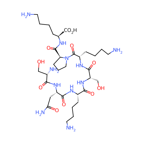 NCCCC[C@H](NC(=O)[C@@H]1CCCN1C(=O)[C@H](CCCCN)NC(=O)[C@H](CO)NC(=O)[C@H](CCCCN)NC(=O)[C@H](CC(N)=O)NC(=O)[C@@H](N)CO)C(=O)O